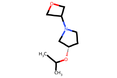 CC(C)O[C@H]1CCN(C2COC2)C1